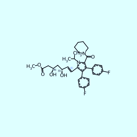 COC(=O)C[C@H](O)C[C@H](O)/C=C/c1c(-c2ccc(F)cc2)c(-c2ccc(F)cc2)c(C(=O)N2CCCCC2)n1C(C)C